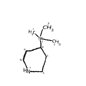 C[N+](C)(C)C1CCNCC1